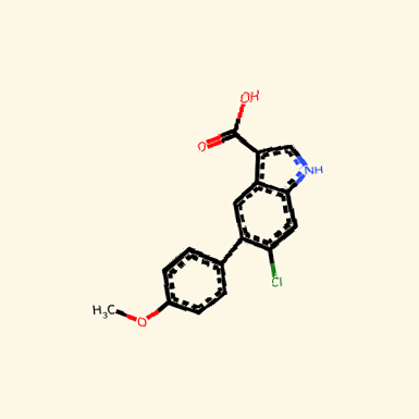 COc1ccc(-c2cc3c(C(=O)O)c[nH]c3cc2Cl)cc1